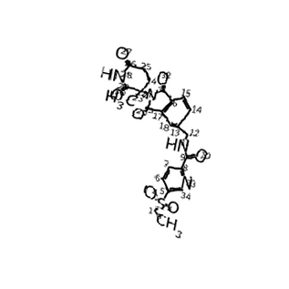 CCS(=O)(=O)c1ccc(C(=O)NCc2ccc3c(c2)C(=O)N(C2(C)CCC(=O)NC2=O)C3=O)nc1